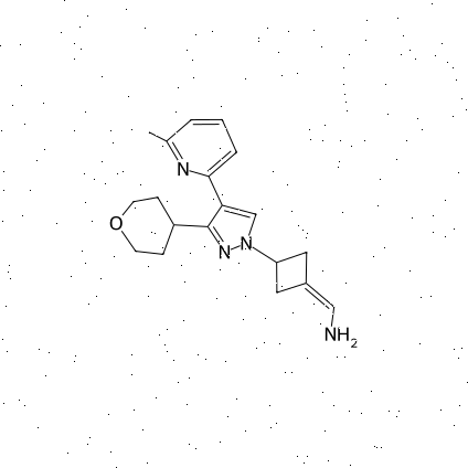 Cc1cccc(-c2cn(C3CC(=CN)C3)nc2C2CCOCC2)n1